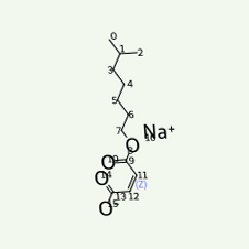 CC(C)CCCCCOC(=O)/C=C\C(=O)[O-].[Na+]